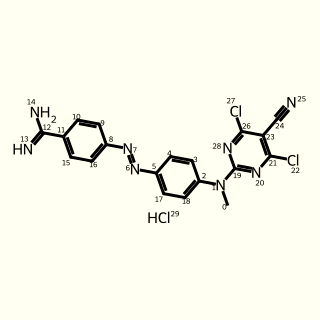 CN(c1ccc(N=Nc2ccc(C(=N)N)cc2)cc1)c1nc(Cl)c(C#N)c(Cl)n1.Cl